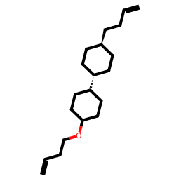 C=CCCOC1CCC([C@H]2CC[C@H](CCC=C)CC2)CC1